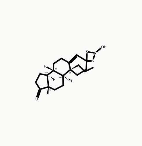 CCC[C@]12CCC3(C=C1CC[C@@H]1[C@@H]2CC[C@]2(C)C(=O)CC[C@@H]12)SN(O)S3